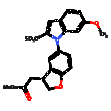 COC(=O)CC1COc2ccc(-n3c(C(=O)O)cc4ccc(OC(F)(F)F)cc43)cc21